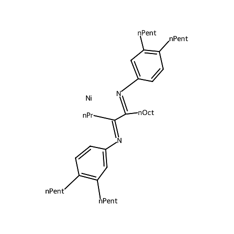 CCCCCCCCC(=N\c1ccc(CCCCC)c(CCCCC)c1)/C(CCC)=N/c1ccc(CCCCC)c(CCCCC)c1.[Ni]